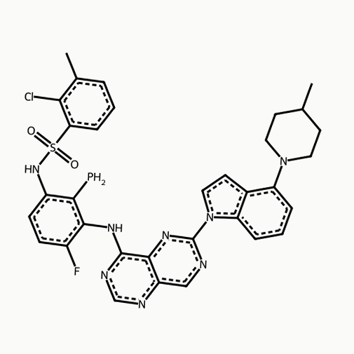 Cc1cccc(S(=O)(=O)Nc2ccc(F)c(Nc3ncnc4cnc(-n5ccc6c(N7CCC(C)CC7)cccc65)nc34)c2P)c1Cl